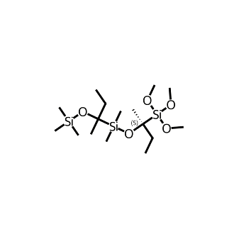 CCC(C)(O[Si](C)(C)C)[Si](C)(C)O[C@](C)(CC)[Si](OC)(OC)OC